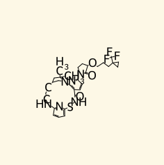 CC1(C)CC2CCCNc3cccc(n3)SNC(=O)c3ccc(N4CCC(OCCCC5(C(F)(F)F)CC5)C4=O)nc3N1C2